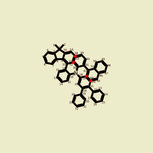 CC1(C)c2ccccc2-c2c(-c3ccccc3N(c3ccc(-c4ccccc4)c(-c4ccccc4)c3)c3ccccc3-c3cccc4ccccc34)cccc21